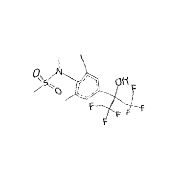 Cc1cc(C(O)(C(F)(F)F)C(F)(F)F)cc(C)c1N(C)S(C)(=O)=O